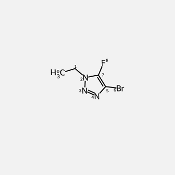 CCn1nnc(Br)c1F